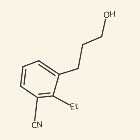 CCc1c(C#N)cccc1CCCO